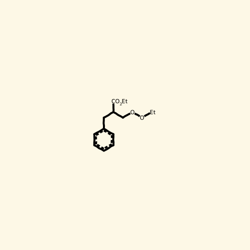 CCOOCC(Cc1ccccc1)C(=O)OCC